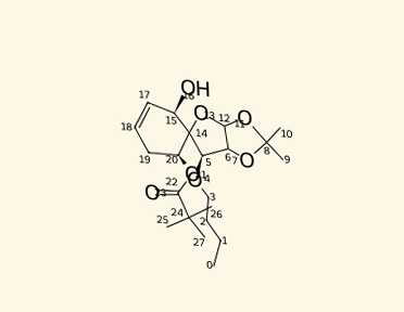 CCCCO[C@@H]1C2OC(C)(C)OC2OC12[C@H](O)C=CC[C@@H]2OC(=O)C(C)(C)C